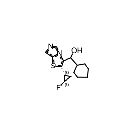 OC(c1c([C@@H]2C[C@H]2F)sc2cncn12)C1CCCCC1